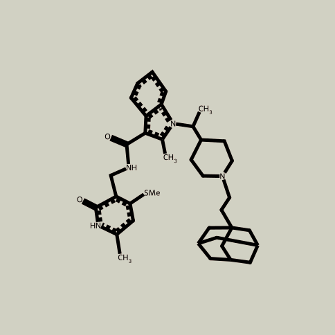 CSc1cc(C)[nH]c(=O)c1CNC(=O)c1c(C)n(C(C)C2CCN(CCC34CC5CC(CC(C5)C3)C4)CC2)c2ccccc12